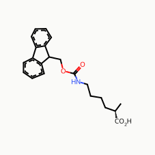 C[C@H](CCCCNC(=O)OCC1c2ccccc2-c2ccccc21)C(=O)O